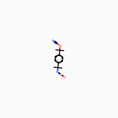 CC(C)(N=C=O)c1ccc(C(C)(C)OC#N)cc1